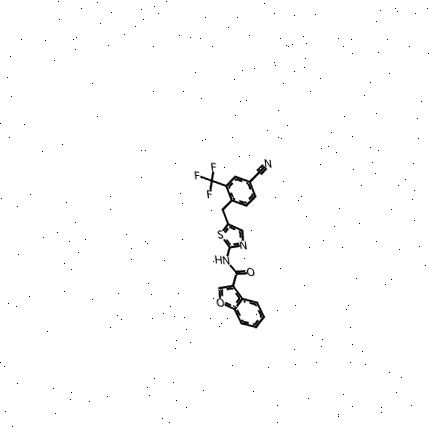 N#Cc1ccc(Cc2cnc(NC(=O)c3coc4ccccc34)s2)c(C(F)(F)F)c1